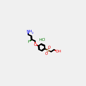 Cl.NCC=C(F)COc1ccc(S(=O)(=O)CCO)cc1